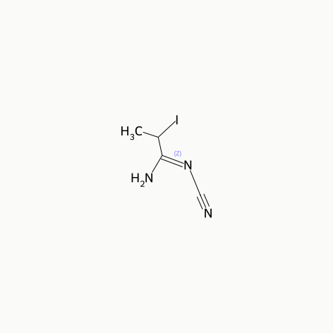 CC(I)/C(N)=N/C#N